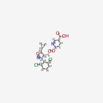 O=C(O)c1ccc(OOCc2c(-c3c(Cl)cccc3Cl)noc2C2CC2)nc1